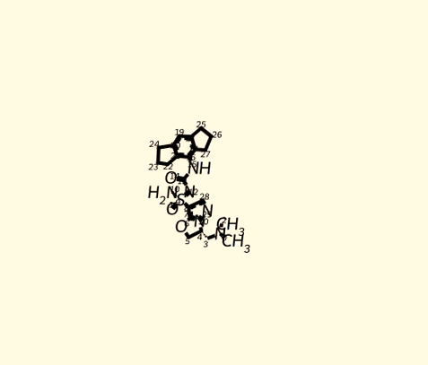 CN(C)C[C@@H]1COc2c([S@](N)(=O)=NC(=O)Nc3c4c(cc5c3CCC5)CCC4)cnn21